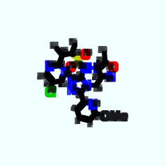 COc1cccc(-c2nnc(NS(=O)(=O)C(C)C(C)c3ncc(Cl)cn3)n2Cc2cc(C)on2)n1